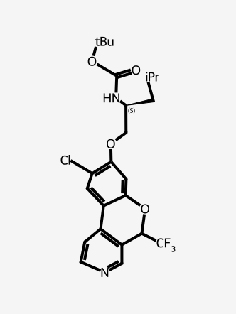 CC(C)C[C@@H](COc1cc2c(cc1Cl)-c1ccncc1C(C(F)(F)F)O2)NC(=O)OC(C)(C)C